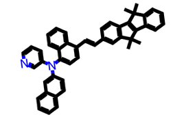 CC1(C)C2=C(c3ccccc31)C(C)(C)c1cc(/C=C/c3ccc(N(c4cccnc4)c4ccc5ccccc5c4)c4ccccc34)ccc12